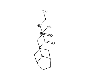 CC(C)(C)CNC(=O)CC1CC2CCC(C1)N2CC(=O)NC(C)(C)C